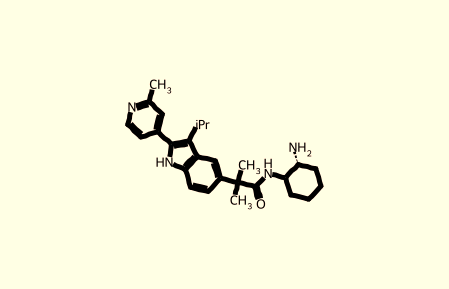 Cc1cc(-c2[nH]c3ccc(C(C)(C)C(=O)NC4CCCC[C@H]4N)cc3c2C(C)C)ccn1